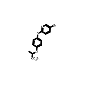 CCOC(=O)C(C)Oc1ccc(Oc2ccc(Br)cn2)cc1